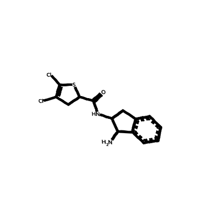 NC1c2ccccc2CC1NC(=O)C1CC(Cl)=C(Cl)S1